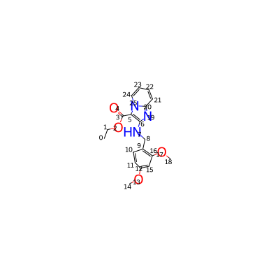 CCOC(=O)c1c(NCc2ccc(OC)cc2OC)nc2ccccn12